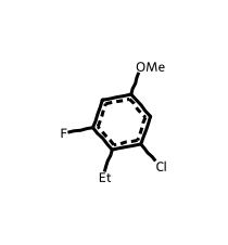 CCc1c(F)cc(OC)cc1Cl